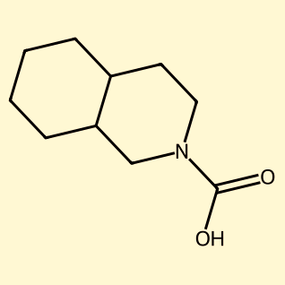 O=C(O)N1CCC2CCCCC2C1